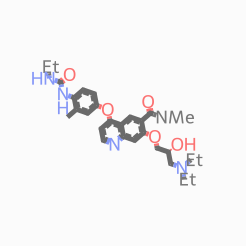 CCNC(=O)Nc1ccc(Oc2ccnc3cc(OC[C@H](O)CN(CC)CC)c(C(=O)NC)cc23)cc1C